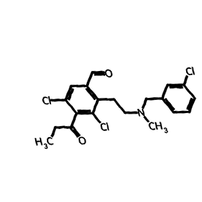 CCC(=O)c1c(Cl)cc(C=O)c(CCN(C)Cc2cccc(Cl)c2)c1Cl